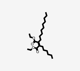 CCCCCCCCCC/C(C(=O)OCC)=C(\CCCCCC)C(=O)OCC